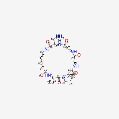 CC(C)(C)[C@@H]1NC(=O)CSCCNC(=O)[C@@H](CN)NC(=O)CNC(=O)CNC(=O)[C@@H]2CCCN2C1=O